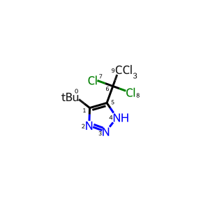 CC(C)(C)c1nn[nH]c1C(Cl)(Cl)C(Cl)(Cl)Cl